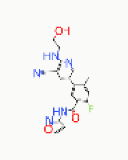 Cc1cc(F)c(C(=O)Nc2ccon2)cc1-c1cnc(NCCO)c(C#N)c1